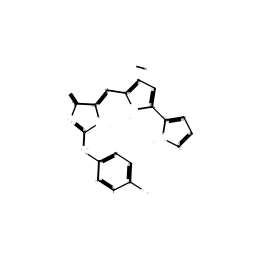 CC(=O)O.O=C1N=C(Nc2cc[c]([Na])cc2)SC1=Cc1ccc(-c2cccs2)s1